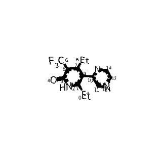 CCc1[nH]c(=O)c(C(F)(F)F)c(CC)c1-c1cnccn1